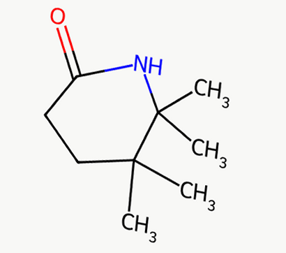 CC1(C)CCC(=O)NC1(C)C